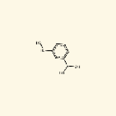 OBc1cccc(B(O)O)c1